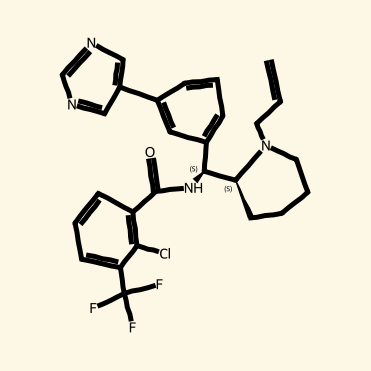 C=CCN1CCCC[C@H]1[C@@H](NC(=O)c1cccc(C(F)(F)F)c1Cl)c1cccc(-c2cncnc2)c1